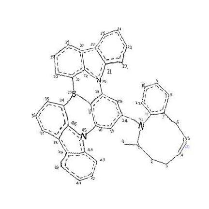 CC1CC/C=C\Cc2ccccc2N1c1cc2c3c(c1)-n1c4ccccc4c4cccc(c41)B3c1cccc3c4ccccc4n-2c13